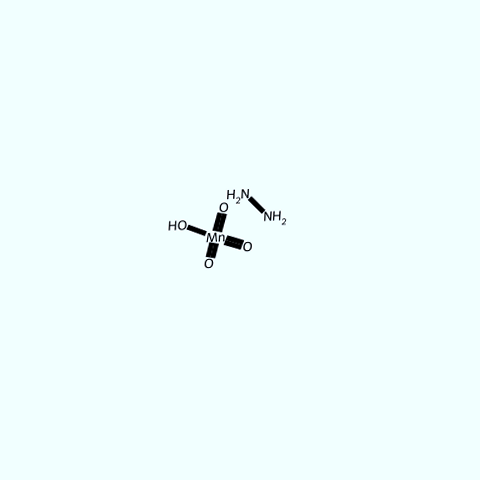 NN.[O]=[Mn](=[O])(=[O])[OH]